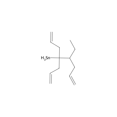 C=CCC(CC)[C]([SnH3])(CC=C)CC=C